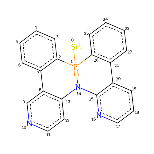 S[PH]12c3ccccc3-c3cnccc3N1c1ncccc1-c1ccccc12